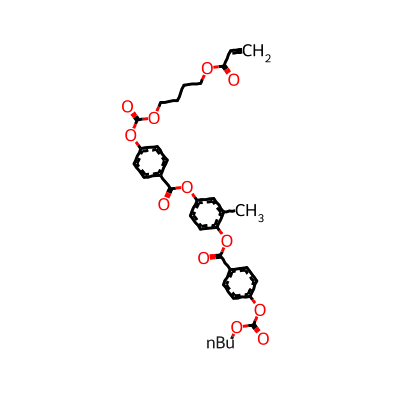 C=CC(=O)OCCCCOC(=O)Oc1ccc(C(=O)Oc2ccc(OC(=O)c3ccc(OC(=O)OCCCC)cc3)c(C)c2)cc1